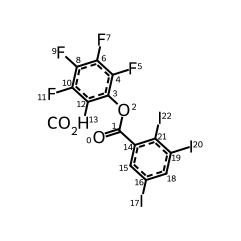 O=C(Oc1c(F)c(F)c(F)c(F)c1C(=O)O)c1cc(I)cc(I)c1I